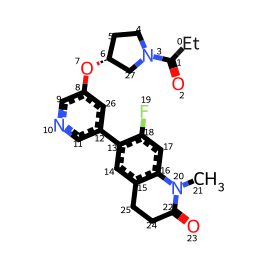 CCC(=O)N1CC[C@@H](Oc2cncc(-c3cc4c(cc3F)N(C)C(=O)CC4)c2)C1